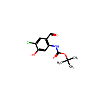 CC(C)(C)OC(=O)Nc1cc(O)c(Cl)cc1C=O